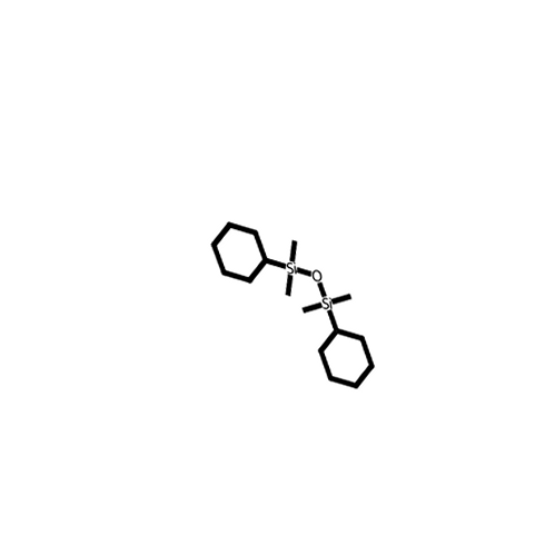 C[Si](C)(O[Si](C)(C)C1CCCCC1)C1CCCCC1